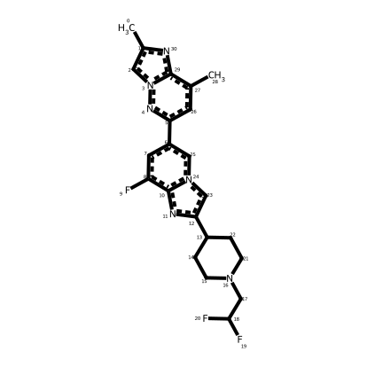 Cc1cn2nc(-c3cc(F)c4nc(C5CCN(CC(F)F)CC5)cn4c3)cc(C)c2n1